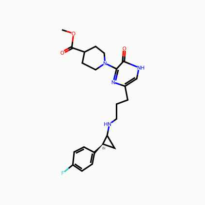 COC(=O)C1CCN(c2nc(CCCNC3C[C@H]3c3ccc(F)cc3)c[nH]c2=O)CC1